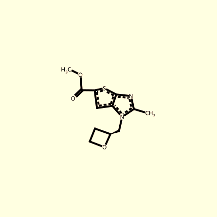 COC(=O)c1cc2c(nc(C)n2C[C@@H]2CCO2)s1